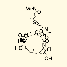 CNC(=O)CCC(C)SSCCC(=O)N(C)[C@@H](C)C(=O)O[C@H]1CC(=O)N(C)c2cc(cc(CO)c2Cl)C/C(C)=C/C=C/[C@@H](CO)[C@@]2(O)C[C@H](OC(=O)N2)[C@@H](C)C2O[C@]21C